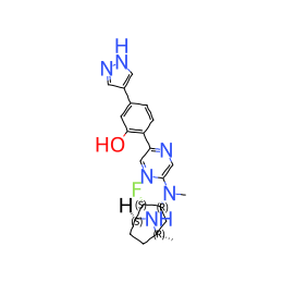 CN(c1cnc(-c2ccc(-c3cn[nH]c3)cc2O)cn1)[C@@H]1C[C@@]2(C)CC[C@H](N2)[C@@H]1F